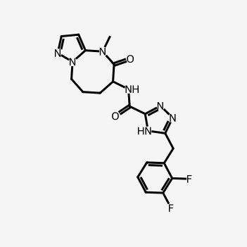 CN1C(=O)C(NC(=O)c2nnc(Cc3cccc(F)c3F)[nH]2)CCCn2nccc21